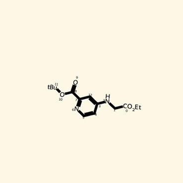 CCOC(=O)CNc1ccnc(C(=O)OC(C)(C)C)c1